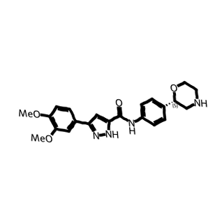 COc1ccc(-c2cc(C(=O)Nc3ccc([C@H]4CNCCO4)cc3)[nH]n2)cc1OC